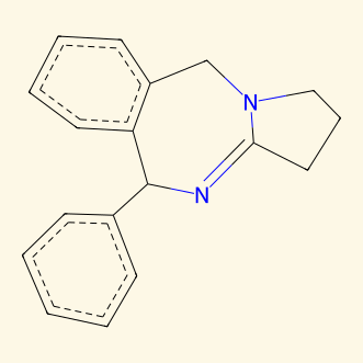 c1ccc(C2N=C3CCCN3Cc3ccccc32)cc1